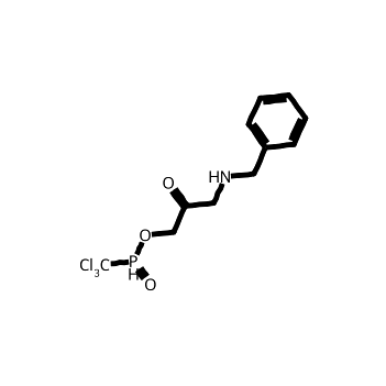 O=C(CNCc1ccccc1)CO[PH](=O)C(Cl)(Cl)Cl